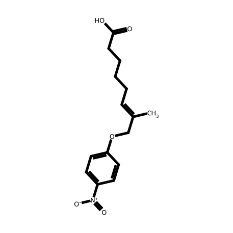 CC(=CCCCCC(=O)O)COc1ccc([N+](=O)[O-])cc1